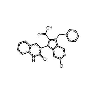 O=C(O)c1c(-c2cc3ccccc3[nH]c2=O)c2cc(Cl)ccc2n1Cc1ccccc1